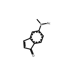 CC(=O)N(C)c1ccc2c(c1)C=CC2=O